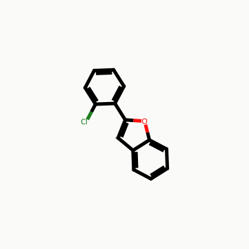 Clc1ccccc1-c1[c]c2ccccc2o1